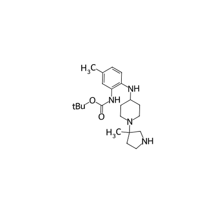 Cc1ccc(NC2CCN(C3(C)CCNC3)CC2)c(NC(=O)OC(C)(C)C)c1